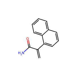 C=C(C(N)=O)c1cccc2ccccc12